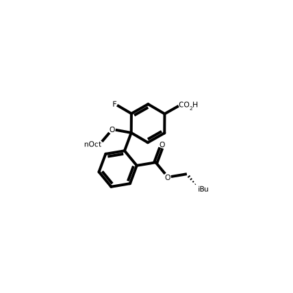 CCCCCCCCOC1(c2ccccc2C(=O)OC[C@@H](C)CC)C=CC(C(=O)O)C=C1F